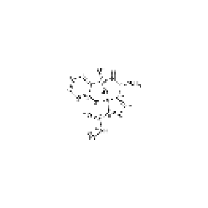 CC(NS(=O)(=O)c1ccccc1F)c1ccc(C(=O)NO)s1